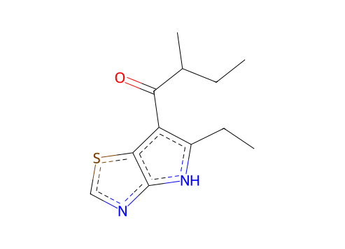 CCc1[nH]c2ncsc2c1C(=O)C(C)CC